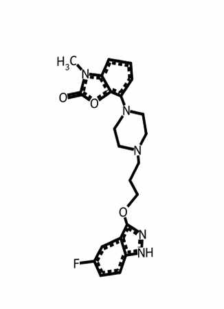 Cn1c(=O)oc2c(N3CCN(CCCOc4n[nH]c5ccc(F)cc45)CC3)cccc21